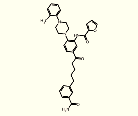 Cc1ccccc1N1CCN(c2ccc(C(=O)CCCCc3cccc(C(N)=O)c3)cc2NC(=O)c2ccco2)CC1